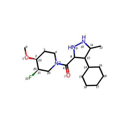 CO[C@H]1CCN(C(=O)C2NNC(C)C2C2CCCCC2)C[C@H]1F